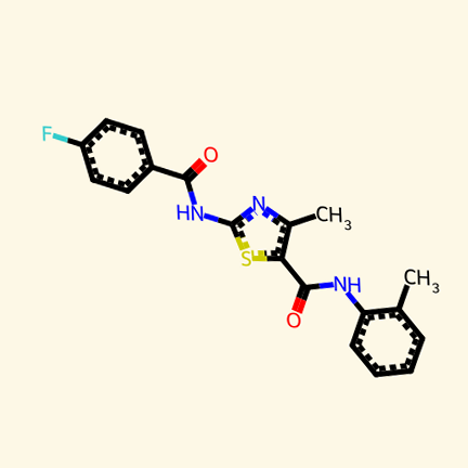 Cc1ccccc1NC(=O)c1sc(NC(=O)c2ccc(F)cc2)nc1C